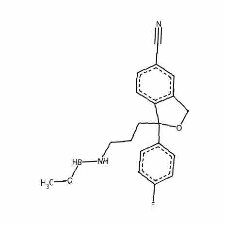 COBNCCCC1(c2ccc(F)cc2)OCc2cc(C#N)ccc21